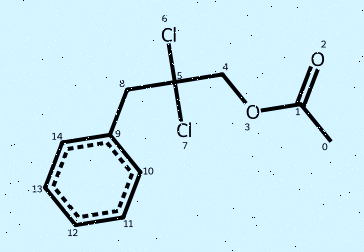 CC(=O)OCC(Cl)(Cl)Cc1ccccc1